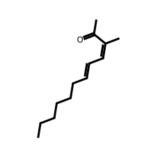 CCCCCCC=CC=C(C)C(C)=O